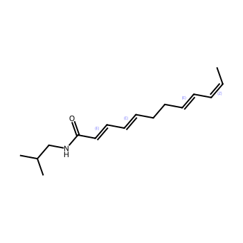 C/C=C\C=C\CC/C=C/C=C/C(=O)NCC(C)C